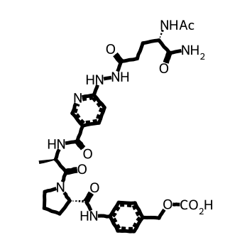 CC(=O)N[C@@H](CCC(=O)NNc1ccc(C(=O)N[C@H](C)C(=O)N2CCC[C@H]2C(=O)Nc2ccc(COC(=O)O)cc2)cn1)C(N)=O